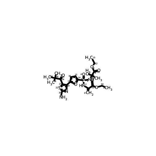 C=C(NP(=O)(NC(C)(C)C(=O)OCC)c1ccc(-c2nc(N)sc2C(=O)C(C)(C)C)o1)C(=O)OCC